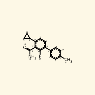 Cc1ccc(-c2ccc(C3CC3)c(C(N)=O)c2F)cc1